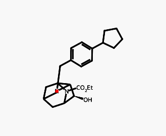 CCOC(=O)N1C2CC3CC1[C@H](O)C2N(Cc1ccc(C2CCCC2)cc1)C3